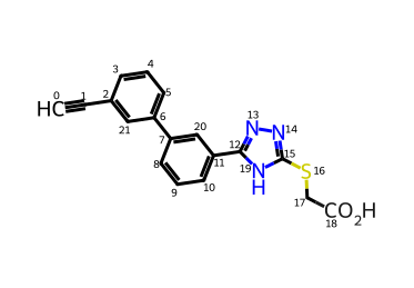 C#Cc1cccc(-c2cccc(-c3nnc(SCC(=O)O)[nH]3)c2)c1